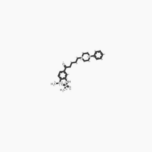 COc1ccc(C(=O)CCCCN2CCN(c3ccccc3)CC2)cc1NS(C)(=O)=O